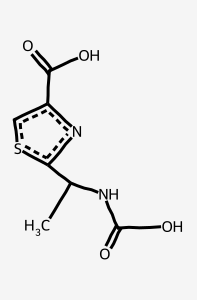 CC(NC(=O)O)c1nc(C(=O)O)cs1